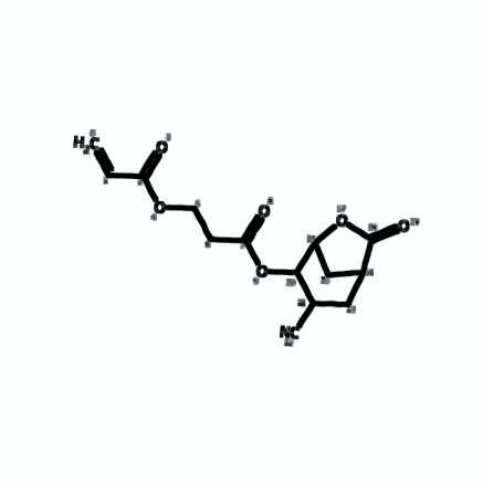 C=CC(=O)OCCC(=O)OC1C(C#N)CC2CC1OC2=O